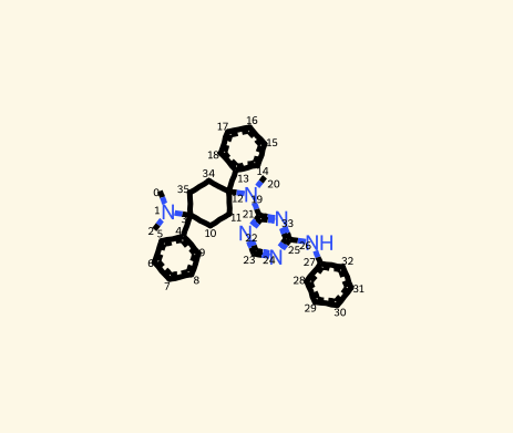 CN(C)C1(c2ccccc2)CCC(c2ccccc2)(N(C)c2ncnc(Nc3ccccc3)n2)CC1